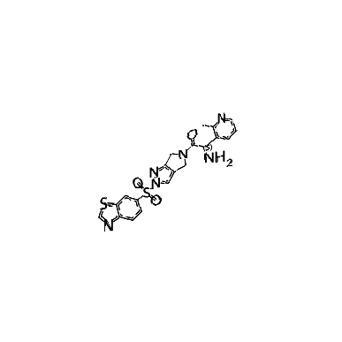 Cc1ncccc1[C@H](N)C(=O)N1Cc2cn(S(=O)(=O)c3ccc4ncsc4c3)nc2C1